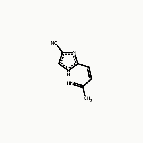 CC(=N)/C=C\c1nc(C#N)c[nH]1